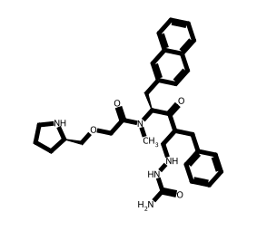 CN(C(=O)COC[C@H]1CCCN1)[C@@H](Cc1ccc2ccccc2c1)C(=O)C(CNNC(N)=O)Cc1ccccc1